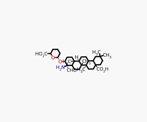 CC1(C)CC[C@]2(C(=O)O)CC[C@]3(C)C(CC[C@@H]4[C@@]5(C)CC[C@H](O[C@H]6CCCC(C(=O)O)O6)[C@@](N)(C=O)C5CC[C@]43C)C2C1